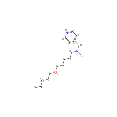 CCOCCOCCCCCN(C)Cc1ccncc1